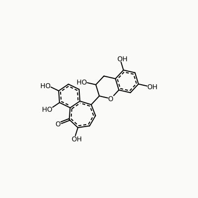 O=c1c(O)ccc(C2Oc3cc(O)cc(O)c3CC2O)c2ccc(O)c(O)c12